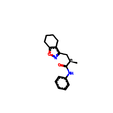 C[C@H](Cc1noc2c1CCCC2)C(=O)Nc1ccccc1